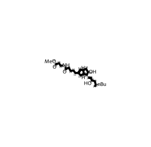 CCCC[C@H](C)C[C@H](O)/C=C/[C@@H]1[C@H]2CC(CCCCC(=O)NCCC(=O)OC)=C[C@H]2C[C@H]1O